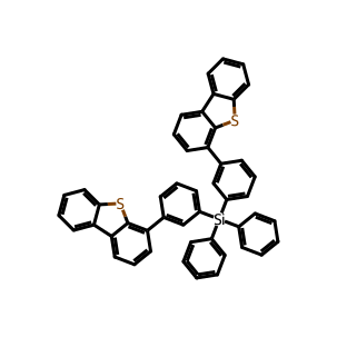 C1=C=CC([Si](c2ccccc2)(c2cccc(-c3cccc4c3sc3ccccc34)c2)c2cccc(-c3cccc4c3sc3ccccc34)c2)=CC=1